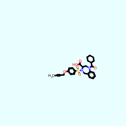 CC#CCOc1ccc(S(=O)(=O)N2Cc3ccccc3N(C(=O)C3CCCCC3)CC2C(=O)O)cc1